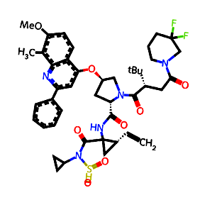 C=C[C@@H]1CC1(NC(=O)[C@@H]1C[C@@H](Oc2cc(-c3ccccc3)nc3c(C)c(OC)ccc23)CN1C(=O)[C@@H](CC(=O)N1CCCC(F)(F)C1)C(C)(C)C)C(=O)N(C1CC1)[SH](=O)=O